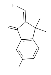 CC1(C)C(=CO)C(=O)c2cc(F)ccc21